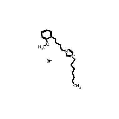 CCCCCCC[n+]1ccn(CCCCc2ccccc2OC)c1.[Br-]